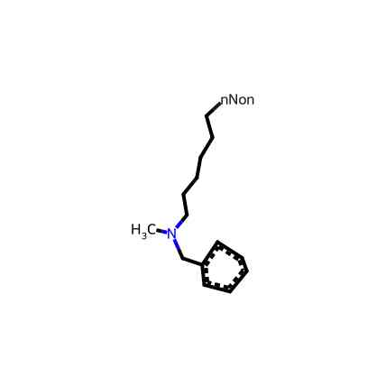 CCCCCCCCCCCCCCCN(C)Cc1ccccc1